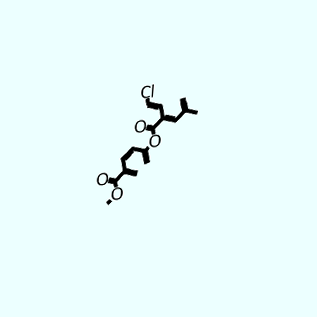 C=C(C)/C=C(\C=C\Cl)C(=O)OC(=C)/C=C\C(=C)C(=O)OC